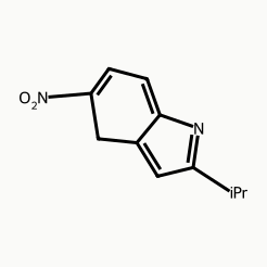 CC(C)C1=NC2=CC=C([N+](=O)[O-])CC2=C1